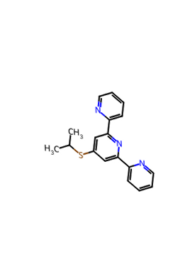 CC(C)Sc1cc(-c2ccccn2)nc(-c2ccccn2)c1